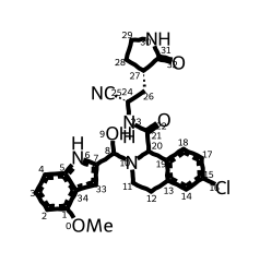 COc1cccc2[nH]c(C(O)N3CCc4cc(Cl)ccc4C3C(=O)N[C@H](C#N)C[C@@H]3CCNC3=O)cc12